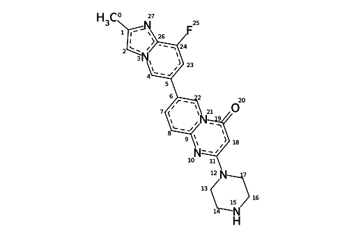 Cc1cn2cc(-c3ccc4nc(N5CCNCC5)cc(=O)n4c3)cc(F)c2n1